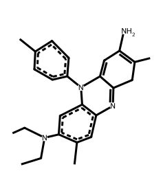 CCN(CC)c1cc2c(cc1C)N=C1CC(C)=C(N)C=C1N2c1ccc(C)cc1